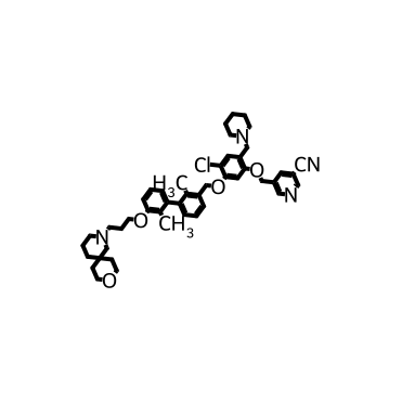 Cc1c(COc2cc(OCc3cncc(C#N)c3)c(CN3CCCCC3)cc2Cl)cccc1-c1cccc(OCCCN2CCCC3(CCOCC3)C2)c1C